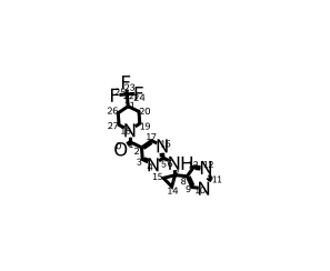 O=C(c1cnc(NC2(c3cncnc3)CC2)nc1)N1CCC(C(F)(F)F)CC1